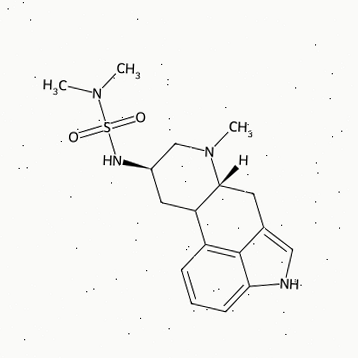 CN1C[C@H](NS(=O)(=O)N(C)C)CC2c3cccc4[nH]cc(c34)C[C@H]21